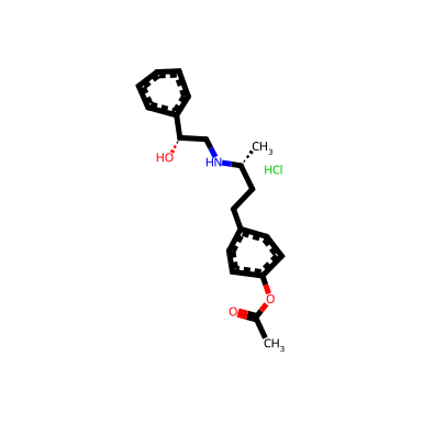 CC(=O)Oc1ccc(CC[C@@H](C)NC[C@H](O)c2ccccc2)cc1.Cl